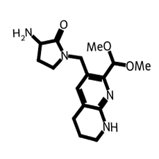 COC(OC)c1nc2c(cc1CN1CCC(N)C1=O)CCCN2